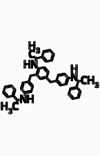 CC(Nc1ccc(Cc2ccc(NC(C)c3ccccc3)c(Cc3ccc(NC(C)c4ccccc4)cc3)c2)cc1)c1ccccc1